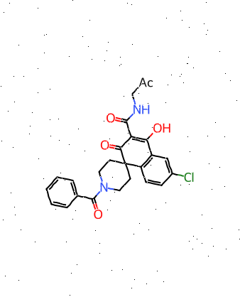 CC(=O)CNC(=O)C1=C(O)c2cc(Cl)ccc2C2(CCN(C(=O)c3ccccc3)CC2)C1=O